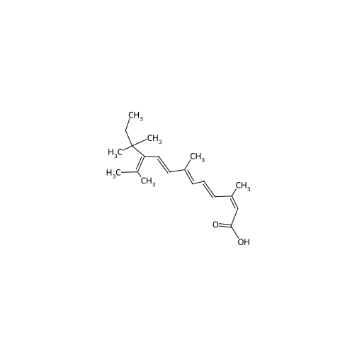 CCC(C)(C)C(/C=C/C(C)=C/C=C/C(C)=C\C(=O)O)=C(C)C